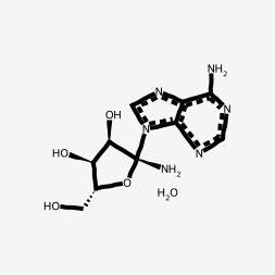 Nc1ncnc2c1ncn2[C@]1(N)O[C@H](CO)[C@@H](O)[C@H]1O.O